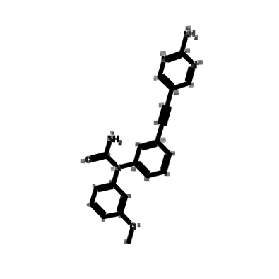 COc1cccc(N(C(N)=O)c2cccc(C#Cc3cnc(N)nc3)c2)c1